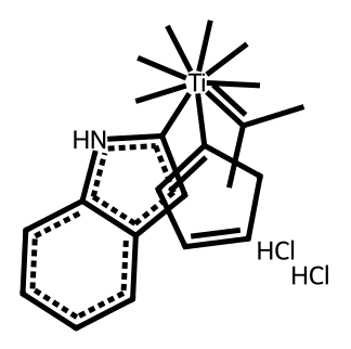 C[C](C)=[Ti]([CH3])([CH3])([CH3])([CH3])([CH3])([CH3])([C]1=CC=CC1)[c]1cc2ccccc2[nH]1.Cl.Cl